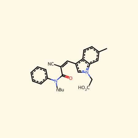 CCCCN(C(=O)C(C#N)=Cc1cn(CC(=O)O)c2cc(C)ccc12)c1ccccc1